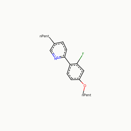 CCCCCOc1ccc(-c2ccc(CCCCC)cn2)c(F)c1